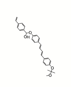 C=Cc1ccc(C(O)Oc2ccc(C=CC=Cc3ccc(OC(C)(C)OC)cc3)cc2)cc1